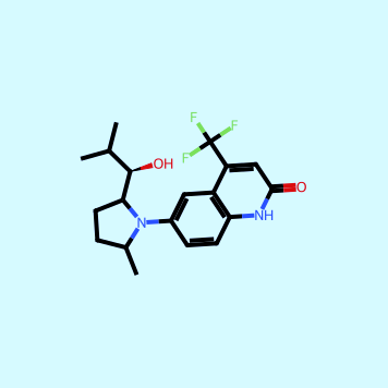 CC(C)[C@@H](O)C1CCC(C)N1c1ccc2[nH]c(=O)cc(C(F)(F)F)c2c1